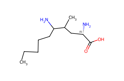 CCCCCC(N)C(C)C[C@H](N)C(=O)O